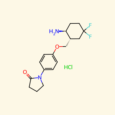 Cl.N[C@H]1CCC(F)(F)C[C@@H]1COc1ccc(N2CCCC2=O)cc1